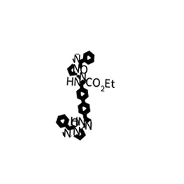 CCOC(=O)c1nc([C@@H]2CCCN2C(=O)[C@@H](c2ccccc2)N(C)C)[nH]c1-c1ccc(-c2ccc(-c3cnc([C@@H]4CCCN4C(=O)[C@@H](c4ccccc4)N(C)C)[nH]3)cc2)cc1